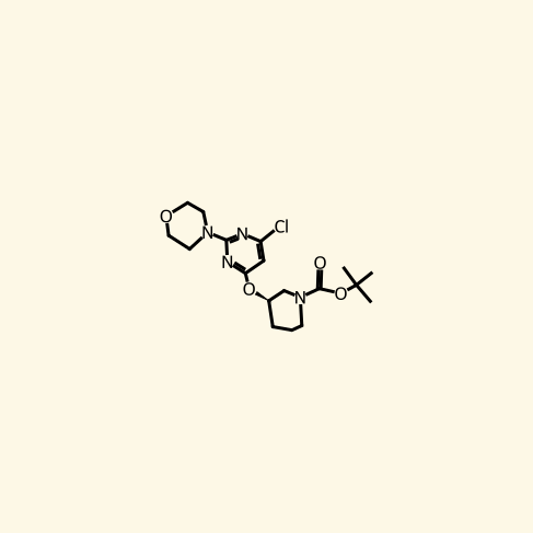 CC(C)(C)OC(=O)N1CCC[C@@H](Oc2cc(Cl)nc(N3CCOCC3)n2)C1